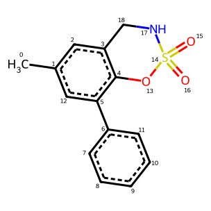 Cc1cc2c(c(-c3ccccc3)c1)OS(=O)(=O)NC2